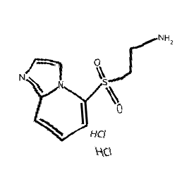 Cl.Cl.NCCS(=O)(=O)c1cccc2nccn12